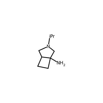 CC(C)N1CC2CCC2(N)C1